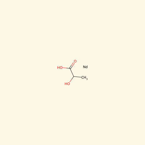 CC(O)C(=O)O.[Nd]